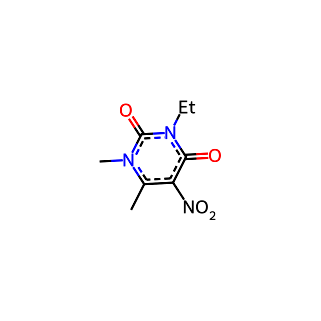 CCn1c(=O)c([N+](=O)[O-])c(C)n(C)c1=O